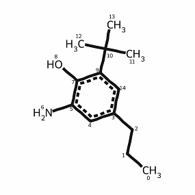 CCCc1cc(N)c(O)c(C(C)(C)C)c1